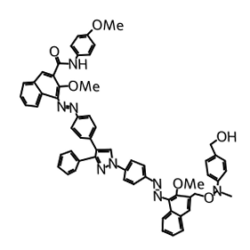 COc1ccc(NC(=O)c2cc3ccccc3c(N=Nc3ccc(-c4cn(-c5ccc(N=Nc6c(OC)c(CON(C)c7ccc(CO)cc7)cc7ccccc67)cc5)nc4-c4ccccc4)cc3)c2OC)cc1